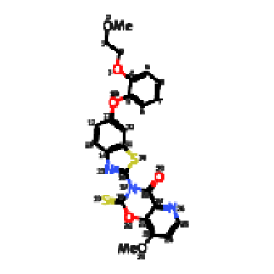 COCCOc1ccccc1Oc1ccc2nc(-n3c(=S)oc4c(OC)ccnc4c3=O)sc2c1